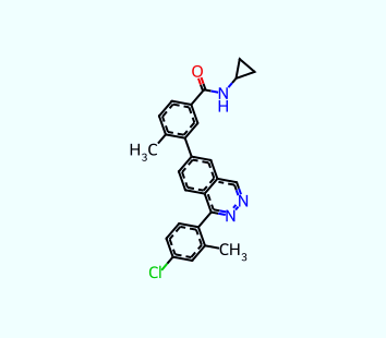 Cc1ccc(C(=O)NC2CC2)cc1-c1ccc2c(-c3ccc(Cl)cc3C)nncc2c1